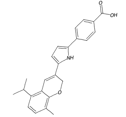 Cc1ccc(C(C)C)c2c1OCC(c1ccc(-c3ccc(C(=O)O)cc3)[nH]1)=C2